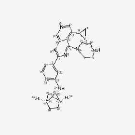 c1cc(-c2nc(N3CCNCC3)c3c(C4CC4)cncc3n2)cc(N[C@H]2C[C@@H]3CC[C@H]2C3)n1